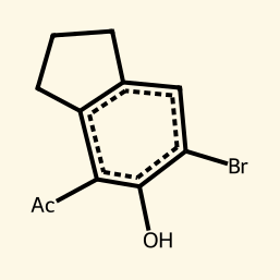 CC(=O)c1c(O)c(Br)cc2c1CCC2